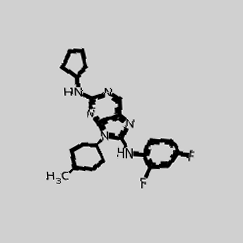 C[C@H]1CC[C@@H](n2c(Nc3ccc(F)cc3F)nc3cnc(NC4CCCC4)nc32)CC1